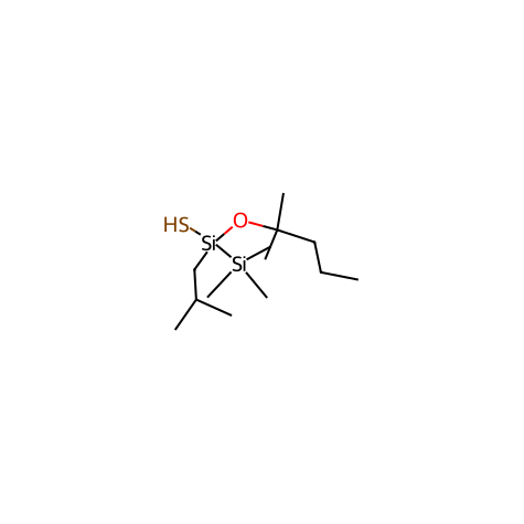 CCCC(C)(C)O[Si](S)(CC(C)C)[Si](C)(C)C